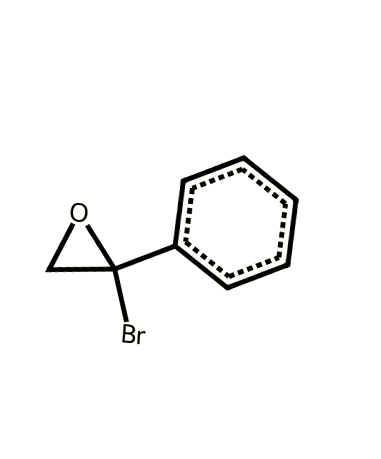 BrC1(c2ccccc2)CO1